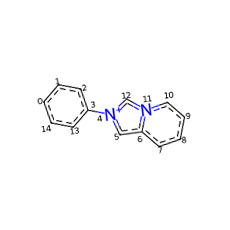 c1ccc(-[n+]2cc3ccccn3c2)cc1